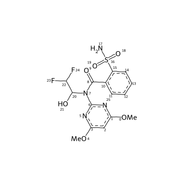 COc1cc(OC)nc(N(C(=O)c2ccccc2S(N)(=O)=O)C(O)C(F)F)n1